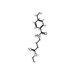 CCOC(=O)CCCNC(=O)c1ccc(CC)cc1